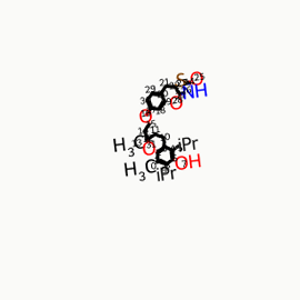 Cc1c2c(c(C(C)C)c(O)c1C(C)C)CCC(C)(CCOc1ccc(CC3SC(=O)NC3=O)cc1)O2